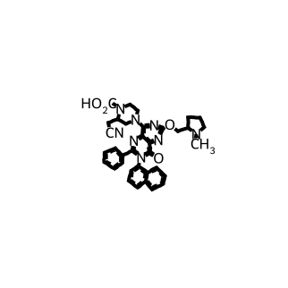 CN1CCCC1COc1nc(N2CCN(C(=O)O)C(CC#N)C2)c2nc(-c3ccccc3)n(-c3cccc4ccccc34)c(=O)c2n1